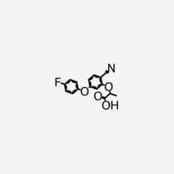 CC(Oc1cc(Oc2ccc(F)cc2)ccc1C#N)C(=O)O